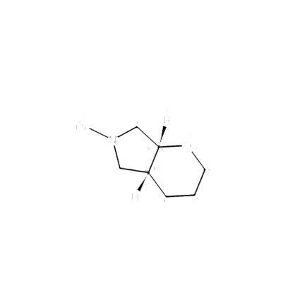 CC(C)N1C[C@H]2CCCO[C@H]2C1